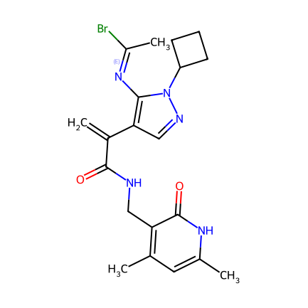 C=C(C(=O)NCc1c(C)cc(C)[nH]c1=O)c1cnn(C2CCC2)c1/N=C(\C)Br